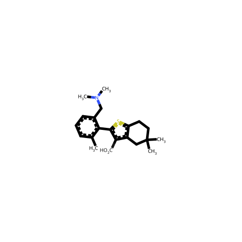 Cc1cccc(CN(C)C)c1-c1sc2c(c1C(=O)O)CC(C)(C)CC2